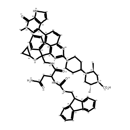 C[C@@H]1CN(C2CCN(c3nc(C(CNC(=O)C(CC(N)=O)NC(=O)OCC4c5ccccc5-c5ccccc54)(OC4CC4)c4ccccc4)c4cc(-c5cn(C)c(=O)c6[nH]ccc56)ccc4n3)CC2)[C@@H](C)CN1C(=O)O